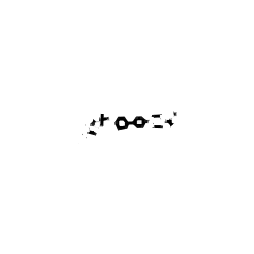 CC(C)(C)OC(=O)N1CCN(c2ccc(-c3ccc(OCC4(C)Cn5cc([N+](=O)[O-])nc5O4)cc3)cc2)CC1